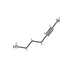 SCCCC#CBr